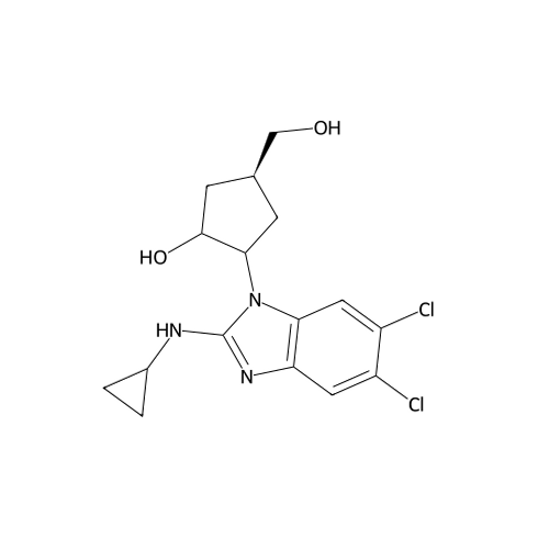 OC[C@@H]1CC(O)C(n2c(NC3CC3)nc3cc(Cl)c(Cl)cc32)C1